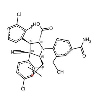 CC(C)(C)C[C@@H]1N(c2ccc(C(N)=O)cc2CO)[C@@H](C(=O)O)[C@H](c2cccc(Cl)c2F)[C@@]1(C#N)c1ccc(Cl)cc1F